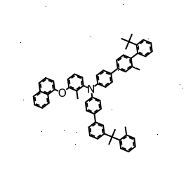 Cc1cc(-c2ccc(N(c3ccc(-c4cccc(C(C)(C)c5ccccc5C)c4)cc3)c3cccc(Oc4cccc5ccccc45)c3C)cc2)ccc1-c1ccccc1C(C)(C)C